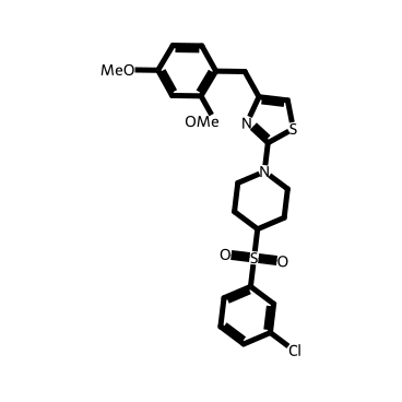 COc1ccc(Cc2csc(N3CCC(S(=O)(=O)c4cccc(Cl)c4)CC3)n2)c(OC)c1